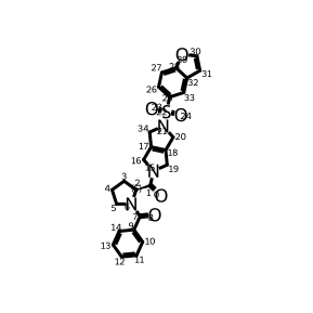 O=C([C@@H]1CCCN1C(=O)c1ccccc1)N1CC2=C(C1)CN(S(=O)(=O)c1ccc3occc3c1)C2